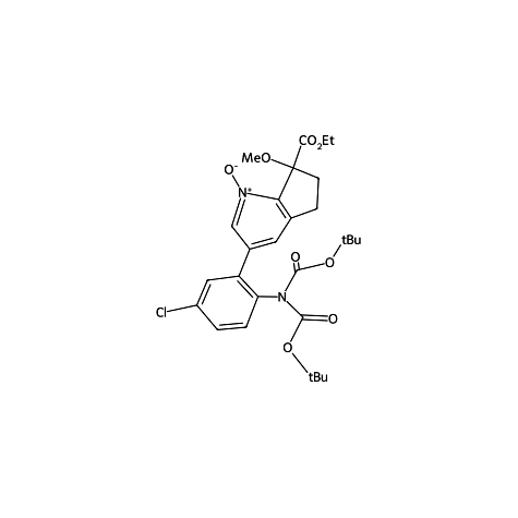 CCOC(=O)C1(OC)CCc2cc(-c3cc(Cl)ccc3N(C(=O)OC(C)(C)C)C(=O)OC(C)(C)C)c[n+]([O-])c21